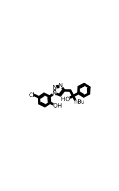 CCCCC(O)(Cc1cn(-c2cc(Cl)ccc2O)nn1)c1ccccc1